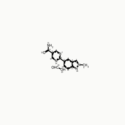 Cn1cc2cc(-c3ncc(C(N)=O)cn3)ccc2n1.O=CO